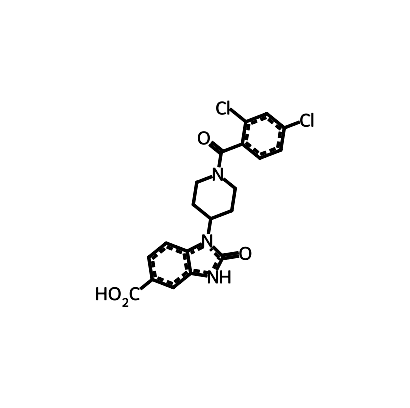 O=C(O)c1ccc2c(c1)[nH]c(=O)n2C1CCN(C(=O)c2ccc(Cl)cc2Cl)CC1